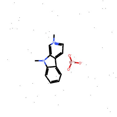 Cn1c2ccccc2c2cc[n+](C)cc21.[O-][Br+2]([O-])[O-]